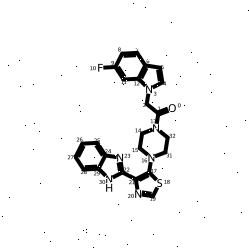 O=C(Cn1ccc2ccc(F)cc21)N1CCN(c2scnc2-c2nc3ccccc3[nH]2)CC1